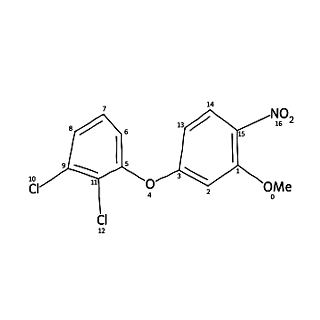 COc1cc(Oc2cccc(Cl)c2Cl)ccc1[N+](=O)[O-]